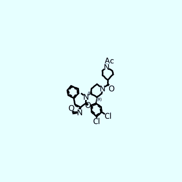 CC(=O)N1CCC(C(=O)N2CC[C@@H](N(C)C(=O)c3ncoc3-c3ccccc3)[C@H](c3ccc(Cl)c(Cl)c3)C2)CC1